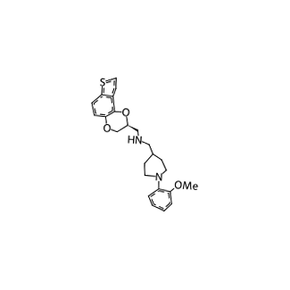 COc1ccccc1N1CCC(CNC[C@H]2COc3ccc4sccc4c3O2)CC1